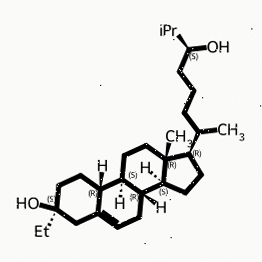 CC[C@]1(O)CC[C@H]2C(=CC[C@@H]3[C@@H]2CC[C@]2(C)[C@@H](C(C)CCC[C@H](O)C(C)C)CC[C@@H]32)C1